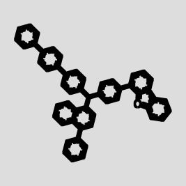 c1ccc(-c2ccc(-c3ccc(C(c4ccc(-c5cccc6c5oc5ccccc56)cc4)c4ccc(-c5ccccc5)c5ccccc45)cc3)cc2)cc1